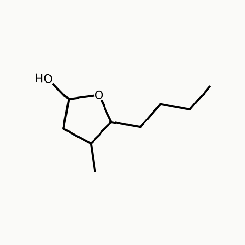 CCCCC1OC(O)CC1C